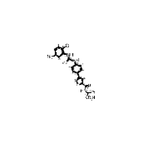 Cc1ccc(Cl)c(NC(=O)Nc2ccc(-c3cc(C(=O)NC(C(=O)O)C(C)C)on3)cc2)c1